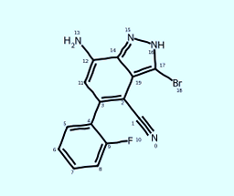 N#Cc1c(-c2ccccc2F)cc(N)c2n[nH]c(Br)c12